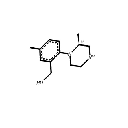 Cc1ccc(N2CCNC[C@@H]2C)c(CO)c1